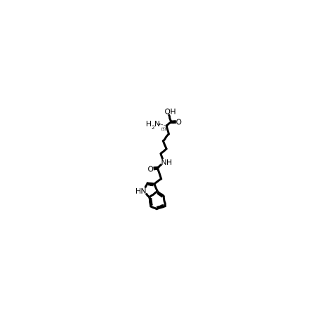 N[C@@H](CCCCNC(=O)Cc1c[nH]c2ccccc12)C(=O)O